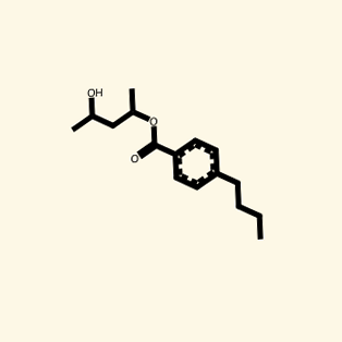 CCCCc1ccc(C(=O)OC(C)CC(C)O)cc1